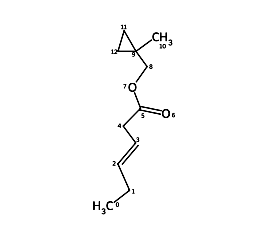 CCC=CCC(=O)OCC1(C)CC1